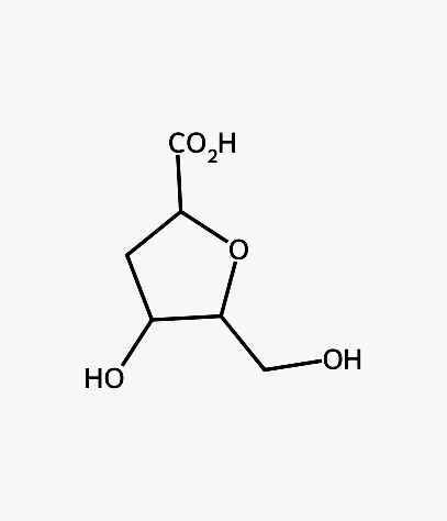 O=C(O)C1CC(O)C(CO)O1